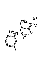 Cc1cccc(Nc2ncnc3c2ccn3C(=O)O)c1